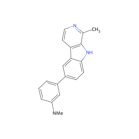 CNc1cccc(-c2ccc3[nH]c4c(C)nccc4c3c2)c1